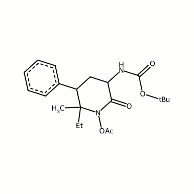 CCC1(C)C(c2ccccc2)CC(NC(=O)OC(C)(C)C)C(=O)N1OC(C)=O